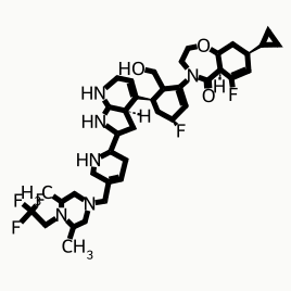 CC1CN(CC2=CCC(C3C[C@@H]4C([C@@H]5C[C@H](F)C=C(N6CCOC7C[C@@H](C8CC8)C=C(F)[C@H]7C6=O)C5CO)=CCNC4N3)NC2)CC(C)N1CC(F)(F)F